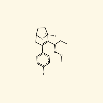 CCC(=NOC)C1=C(c2ccc(F)cc2)CC2CC[C@@H]1S2